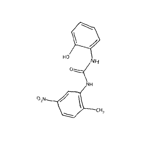 Cc1ccc([N+](=O)[O-])cc1NC(=O)Nc1ccccc1O